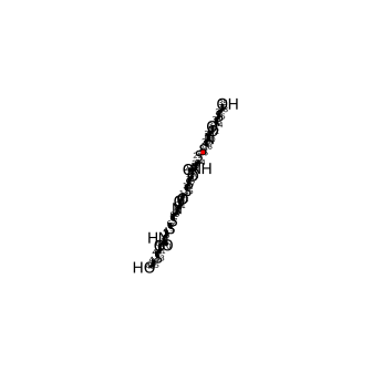 O=C(NCCSCSCC/N=C/OOCSCSCOC(=O)NCCSCSCC/N=C/OOCCSCCO)OCCSCCO